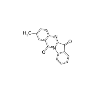 Cc1ccc2nc3n(c(=O)c2c1)-c1ccccc1C3=O